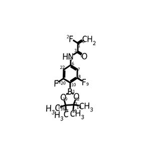 C=C(F)C(=O)Nc1cc(F)c(B2OC(C)(C)C(C)(C)O2)c(F)c1